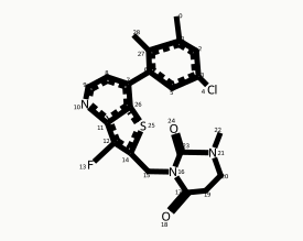 Cc1cc(Cl)cc(-c2ccnc3c(F)c(CN4C(=O)CCN(C)C4=O)sc23)c1C